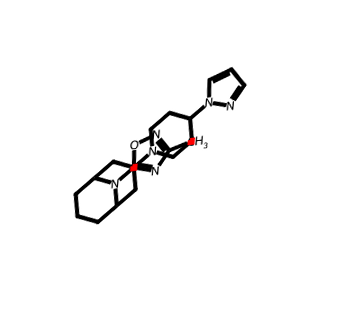 Cc1noc(N2C3CCCC2CC(N2CCC(n4cccn4)CC2)C3)n1